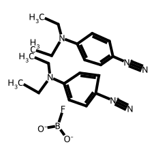 CCN(CC)c1ccc([N+]#N)cc1.CCN(CC)c1ccc([N+]#N)cc1.[O-]B([O-])F